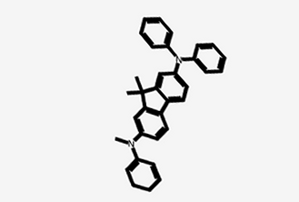 CN(C1=CCCC=C1)c1ccc2c(c1)C(C)(C)c1cc(N(c3ccccc3)c3ccccc3)ccc1-2